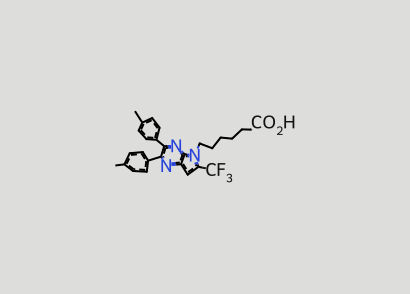 Cc1ccc(-c2nc3cc(C(F)(F)F)n(CCCCCCC(=O)O)c3nc2-c2ccc(C)cc2)cc1